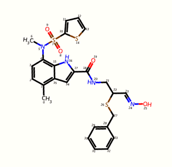 Cc1ccc(N(C)S(=O)(=O)c2cccs2)c2[nH]c(C(=O)NCC(C=NO)SCc3ccccc3)cc12